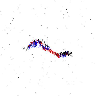 COC[C@@H](C)n1c(C2CCN(C(=O)COCCOCCOCCOCCOCCOCCOCCNC(=O)CCNC(=O)c3cc(NC(=O)CCNC(=O)c4cc(NC(=O)c5nc(NC(=O)CCNC(=O)c6cc(NC(=O)c7cccn7C)cn6C)cn5C)cn4C)cn3C)CC2)nc2cnc3cc(-c4c(C)noc4C)c(OC)cc3c21